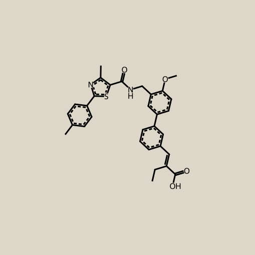 CC/C(=C\c1cccc(-c2ccc(OC)c(CNC(=O)c3sc(-c4ccc(C)cc4)nc3C)c2)c1)C(=O)O